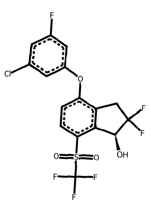 O=S(=O)(c1ccc(Oc2cc(F)cc(Cl)c2)c2c1[C@H](O)C(F)(F)C2)C(F)(F)F